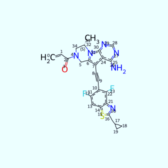 C=CC(=O)N1Cc2c(C#Cc3c(F)cc4sc(C5CC5)nc4c3F)c3c(N)ncnc3n2[C@@H](C)C1